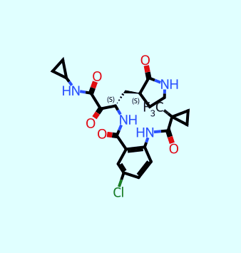 O=C(NC1CC1)C(=O)[C@H](C[C@@H]1CCNC1=O)NC(=O)c1cc(Cl)ccc1NC(=O)C1(C(F)(F)F)CC1